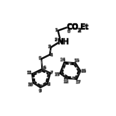 CCOC(=O)CNCCCc1ccccc1.[c]1ccccc1